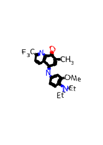 CCN(CC)c1ccc(N=C2C=C(C)C(=O)c3nc(C(F)(F)F)ccc32)cc1OC